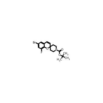 CC(C)(C)OC(=O)N1CCC2(C=Cc3cc(Br)cc(F)c3O2)CC1